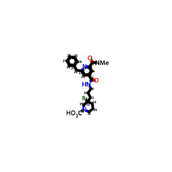 CNC(=O)c1cc(C(=O)NCCCC2(F)CCCN(C(=O)O)C2)cc(Cc2ccccc2)n1